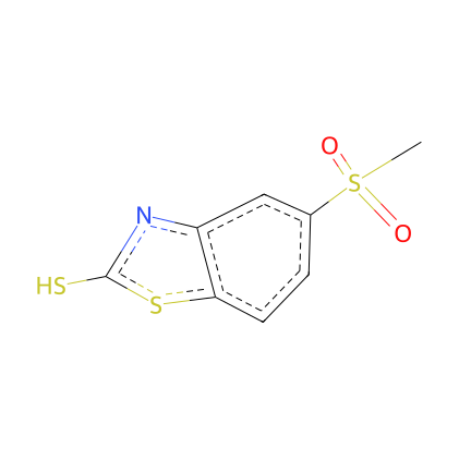 CS(=O)(=O)c1ccc2sc(S)nc2c1